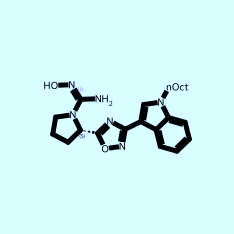 CCCCCCCCn1cc(-c2noc([C@@H]3CCCN3/C(N)=N\O)n2)c2ccccc21